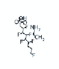 C=CCN.O=S(=O)(O)CC(F)C(F)C(F)C(F)C(F)CCCF